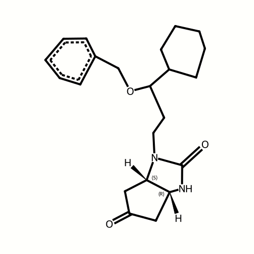 O=C1C[C@H]2NC(=O)N(CCC(OCc3ccccc3)C3CCCCC3)[C@H]2C1